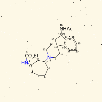 CCOC(=O)NC1CCCCC(N2CCC3(CC2)C[C@H](NC(C)=O)c2ccccc23)C1